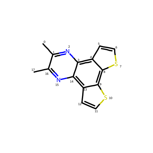 Cc1nc2c3ccsc3c3sccc3c2nc1C